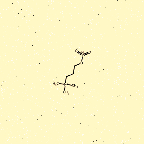 C[N+](C)(C)CCCO[SH](=O)=O